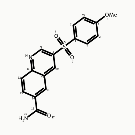 COc1ccc(S(=O)(=O)c2cnc3ccc(C(N)=O)cc3c2)cc1